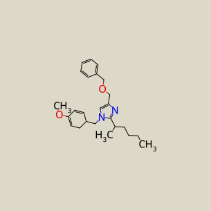 CCCCC(C)c1nc(COCc2ccccc2)cn1CC1C=CC(OC)=CC1